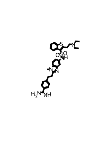 CCN(CC)CCc1sc2ccccc2c1S(=O)(=O)Nc1ccc2c(c1)nc(CCc1ccc(C(=N)N)cc1)n2C